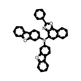 c1ccc(-c2nc3c(N(c4ccc5c(c4)oc4ccccc45)c4ccc5c(c4)oc4ccccc45)cc4ccccc4c3o2)cc1